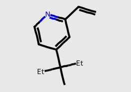 C=Cc1cc(C(C)(CC)CC)ccn1